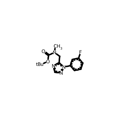 CN(Cc1ncnn1-c1cccc(F)c1)C(=O)OC(C)(C)C